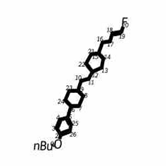 CCCCOc1ccc(C2CCC(CCC3CCC(CCC=CF)CC3)CC2)cc1